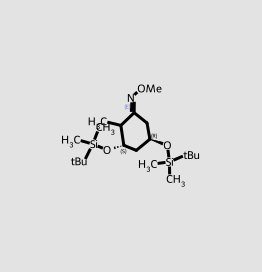 CO/N=C1\C[C@@H](O[Si](C)(C)C(C)(C)C)C[C@H](O[Si](C)(C)C(C)(C)C)C1C